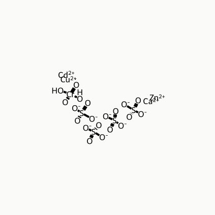 O=S(=O)([O-])[O-].O=S(=O)([O-])[O-].O=S(=O)([O-])[O-].O=S(=O)([O-])[O-].[Ca+2].[Cd+2].[Cu+2].[O]=[Cr](=[O])([OH])[OH].[Zn+2]